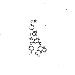 Cc1cc(Sc2cnc(Nc3nc(C4CCN(CC=O)CC4)ns3)c(Oc3ccc(F)cc3)c2)n2nccc2n1